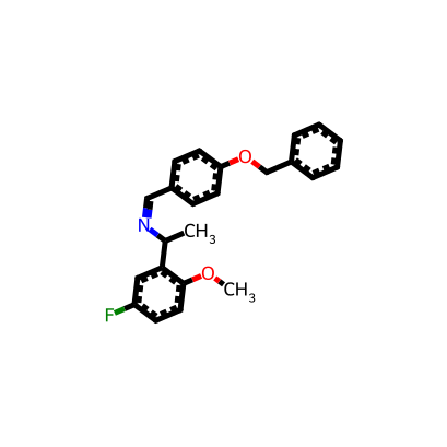 COc1ccc(F)cc1C(C)/N=C\c1ccc(OCc2ccccc2)cc1